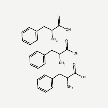 NC(Cc1ccccc1)C(=O)O.NC(Cc1ccccc1)C(=O)O.NC(Cc1ccccc1)C(=O)O